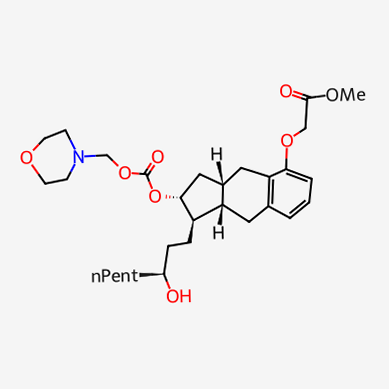 CCCCC[C@H](O)CC[C@@H]1[C@H]2Cc3cccc(OCC(=O)OC)c3C[C@H]2C[C@H]1OC(=O)OCN1CCOCC1